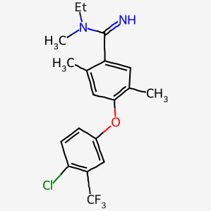 CCN(C)C(=N)c1cc(C)c(Oc2ccc(Cl)c(C(F)(F)F)c2)cc1C